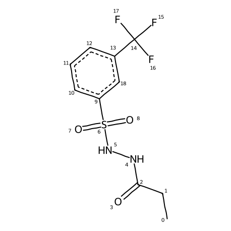 CCC(=O)NNS(=O)(=O)c1cccc(C(F)(F)F)c1